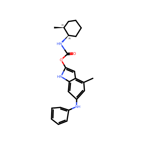 Cc1cc(Nc2ccccc2)cc2[nH]c(OC(=O)N[C@@H]3CCCC[C@@H]3C)cc12